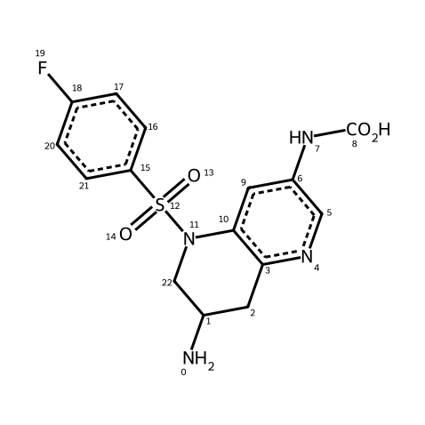 NC1Cc2ncc(NC(=O)O)cc2N(S(=O)(=O)c2ccc(F)cc2)C1